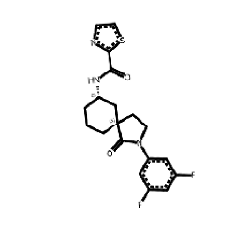 O=C(N[C@H]1CCC[C@]2(CCN(c3cc(F)cc(F)c3)C2=O)C1)c1nccs1